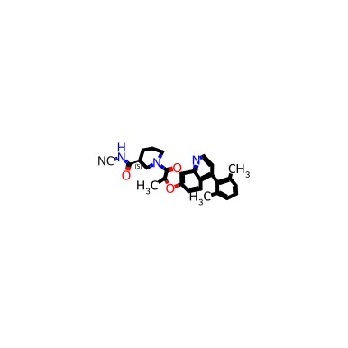 Cc1cccc(C)c1-c1ccnc2cc(OC(C)C(=O)N3CCC[C@H](C(=O)NC#N)C3)ccc12